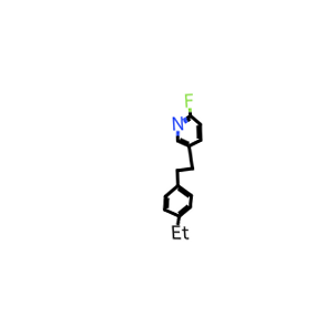 CCc1ccc(CCc2ccc(F)nc2)cc1